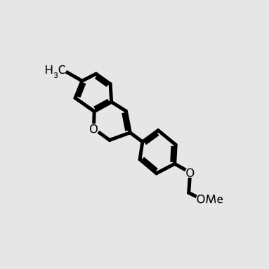 COCOc1ccc(C2=Cc3ccc(C)cc3OC2)cc1